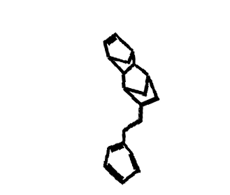 C1=CC2CC1C1C3CC(CCc4ccccc4)C(C3)C21